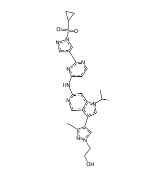 Cc1nn(CCO)cc1-c1cn(C(C)C)c2cc(Nc3ccnc(-c4cnn(S(=O)(=O)C5CC5)c4)n3)ncc12